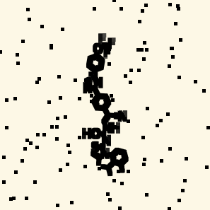 Cc1cccc(-n2c(C)cs/c2=N\C(O)N/C=C(\C#N)c2ccc(-c3ncn(-c4ccc(OC(F)(F)F)cc4)n3)cc2)c1C(C)C